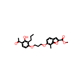 CCCc1c(OCCCOc2ccc3cc(C(=O)OC)oc3c2C)ccc(C(C)=O)c1O